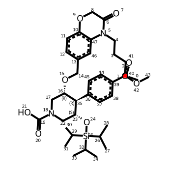 COCCCN1C(=O)COc2ccc(CO[C@H]3CN(C(=O)O)C[C@@H](O[Si](C(C)C)(C(C)C)C(C)C)[C@@H]3c3ccc(C(=O)OC)cc3)cc21